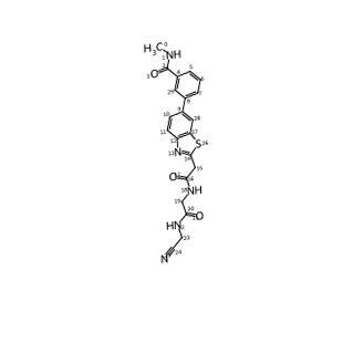 CNC(=O)c1cccc(-c2ccc3nc(CC(=O)NCC(=O)NCC#N)sc3c2)c1